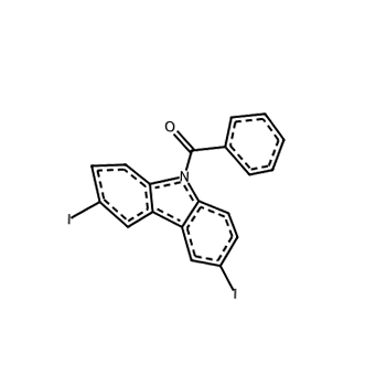 O=C(c1ccccc1)n1c2ccc(I)cc2c2cc(I)ccc21